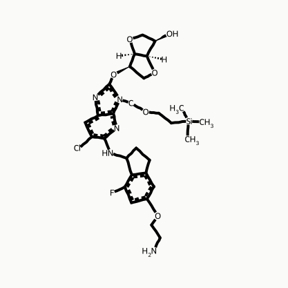 C[Si](C)(C)CCOCn1c(O[C@@H]2CO[C@H]3[C@@H]2OC[C@H]3O)nc2cc(Cl)c(NC3CCc4cc(OCCN)cc(F)c43)nc21